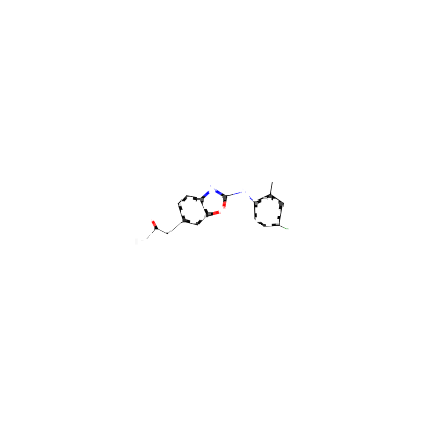 Cc1cc(F)ccc1Nc1nc2ccc(CC(=O)C(C)C)cc2o1